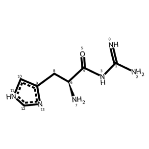 N=C(N)NC(=O)[C@@H](N)Cc1c[nH]cn1